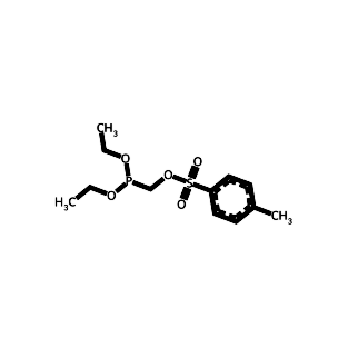 CCOP(COS(=O)(=O)c1ccc(C)cc1)OCC